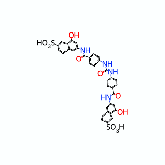 O=C(Nc1ccc(C(=O)Nc2cc(O)c3cc(S(=O)(=O)O)ccc3c2)cc1)Nc1ccc(C(=O)Nc2cc(O)c3cc(S(=O)(=O)O)ccc3c2)cc1